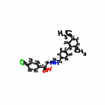 Cc1ccc(C)c(-c2ccc(CCNCC(O)c3ccc(Cl)cc3)cc2)c1